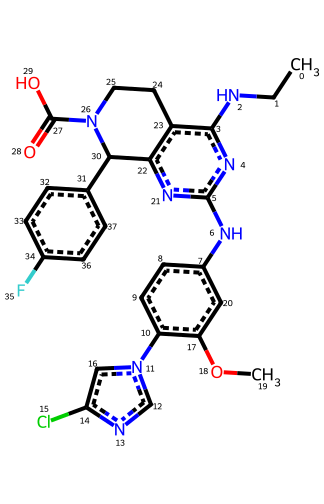 CCNc1nc(Nc2ccc(-n3cnc(Cl)c3)c(OC)c2)nc2c1CCN(C(=O)O)C2c1ccc(F)cc1